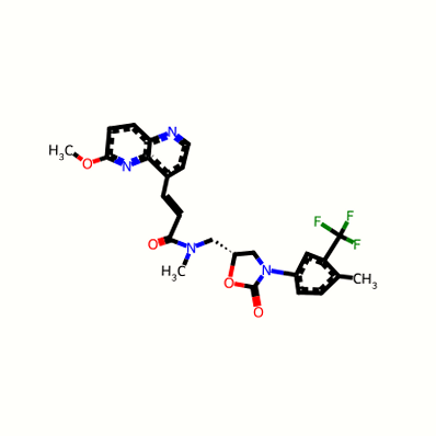 COc1ccc2nccc(C=CC(=O)N(C)C[C@@H]3CN(c4ccc(C)c(C(F)(F)F)c4)C(=O)O3)c2n1